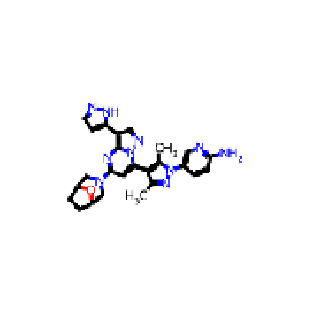 Cc1nn(-c2ccc(N)nc2)c(C)c1-c1cc(N2CC3CCC(C2)O3)nc2c(-c3ccn[nH]3)cnn12